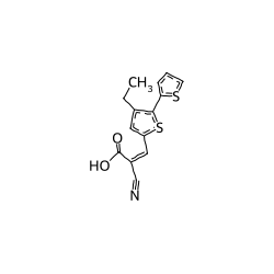 CCc1cc(C=C(C#N)C(=O)O)sc1-c1cccs1